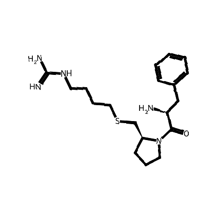 N=C(N)NCCCCSC[C@@H]1CCCN1C(=O)[C@@H](N)Cc1ccccc1